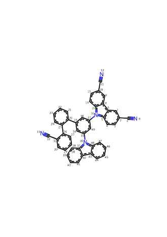 N#Cc1ccc2c(c1)c1cc(C#N)ccc1n2-c1cc(-c2ccccc2-c2ccccc2C#N)cc(-n2c3ccccc3c3ccccc32)c1